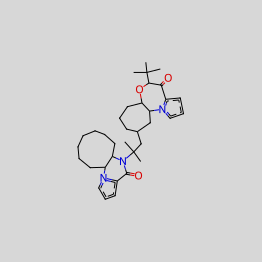 CC(C)(C)C1OC2CCCC(CC(C)(C)N3C(=O)c4cccn4C4CCCCCCCC43)CC2n2cccc2C1=O